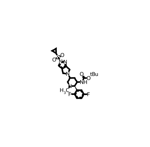 CN1CC(N2Cc3cn(S(=O)(=O)C4CC4)nc3C2)CC(NC(=O)OC(C)(C)C)[C@H]1c1cc(F)ccc1F